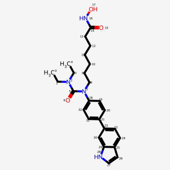 CCN(CC)C(=O)N(CCCCCCC(=O)NO)c1ccc(-c2ccc3cc[nH]c3c2)cc1